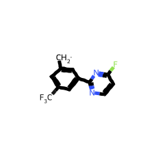 [CH2]c1cc(-c2nccc(F)n2)cc(C(F)(F)F)c1